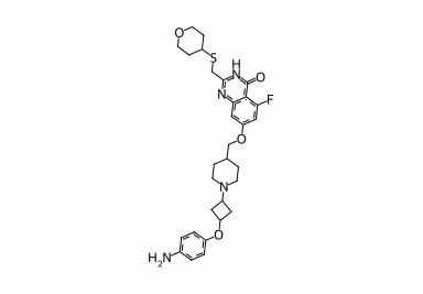 Nc1ccc(OC2CC(N3CCC(COc4cc(F)c5c(=O)[nH]c(CSC6CCOCC6)nc5c4)CC3)C2)cc1